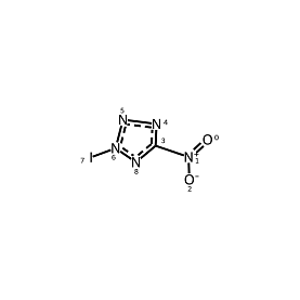 O=[N+]([O-])c1nnn(I)n1